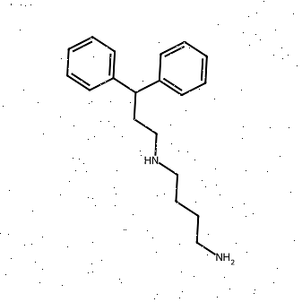 NCCCCNCCC(c1ccccc1)c1ccccc1